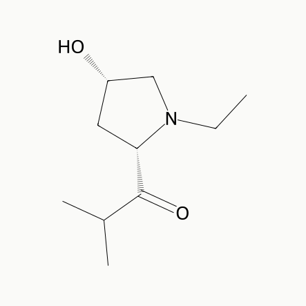 CCN1C[C@@H](O)C[C@H]1C(=O)C(C)C